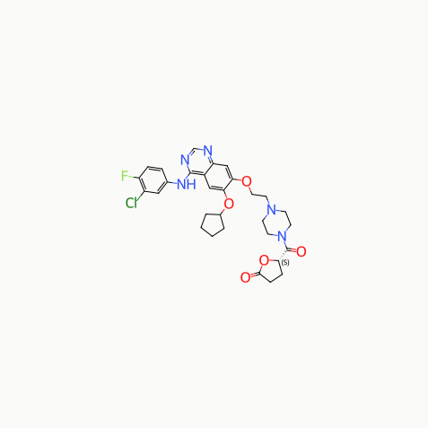 O=C1CC[C@@H](C(=O)N2CCN(CCOc3cc4ncnc(Nc5ccc(F)c(Cl)c5)c4cc3OC3CCCC3)CC2)O1